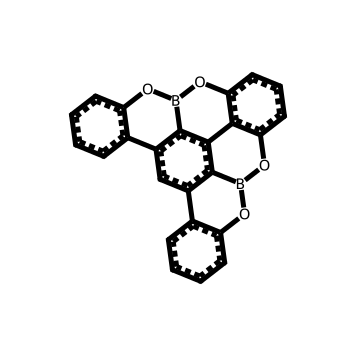 c1ccc2c(c1)OB1Oc3cccc4c3-c3c1c-2cc1c3B(Oc2ccccc2-1)O4